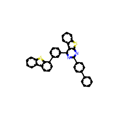 c1ccc(-c2ccc(-c3nc(-c4cccc(-c5cccc6c5sc5ccccc56)c4)c4c(n3)sc3ccccc34)cc2)cc1